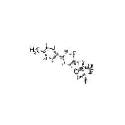 Cc1ccc(C2CC=C(OS(=O)(=O)C(F)(F)F)CC2)cc1